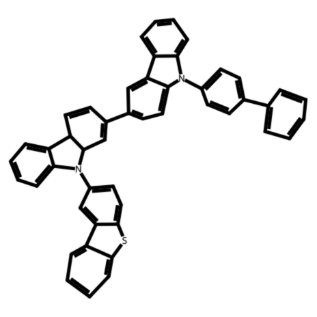 C1=CC2c3ccccc3N(c3ccc4sc5ccccc5c4c3)C2C=C1c1ccc2c(c1)c1ccccc1n2-c1ccc(-c2ccccc2)cc1